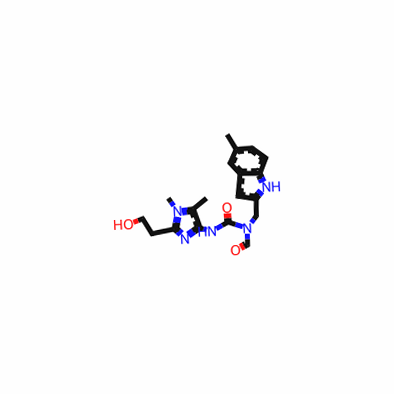 Cc1ccc2[nH]c(CN(C=O)C(=O)Nc3nc(CCO)n(C)c3C)cc2c1